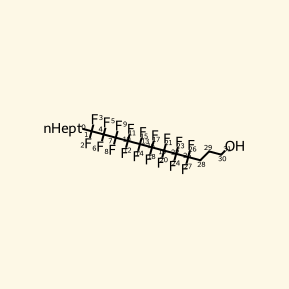 CCCCCCCC(F)(F)C(F)(F)C(F)(F)C(F)(F)C(F)(F)C(F)(F)C(F)(F)C(F)(F)C(F)(F)CCCO